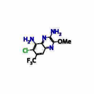 COc1nc2cc(C(F)(F)F)c(Cl)c(N)c2nc1N